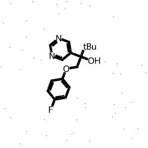 CC(C)(C)C(O)(COc1ccc(F)cc1)c1cncnc1